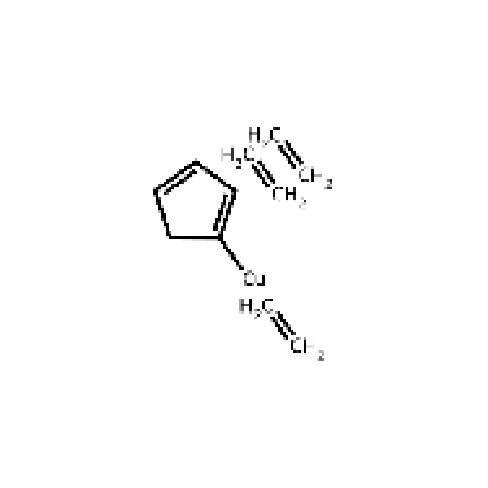 C=C.C=C.C=C.[Cu][C]1=CC=CC1